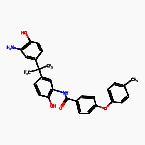 Cc1ccc(Oc2ccc(C(=O)Nc3cc(C(c4ccc(O)c(N)c4)(C(F)(F)F)C(F)(F)F)ccc3O)cc2)cc1